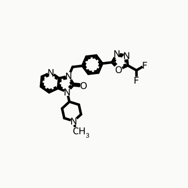 CN1CCC(n2c(=O)n(Cc3ccc(-c4nnc(C(F)F)o4)cc3)c3ncccc32)CC1